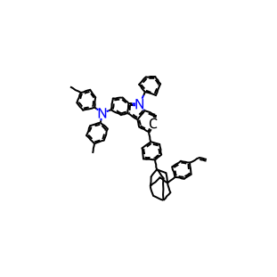 C=Cc1ccc(C23CC4CC(C2)CC(c2ccc(-c5ccc6c(c5)c5cc(N(c7ccc(C)cc7)c7ccc(C)cc7)ccc5n6-c5ccccc5)cc2)(C4)C3)cc1